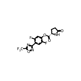 O=C1CC[C@@H](C(=O)Oc2cc(F)c(-c3noc(C(F)(F)F)n3)cc2F)N1